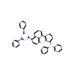 c1ccc(-c2nc(-c3ccccc3)nc(-c3ccc4c5c(cccc35)-c3cccc(N(c5ccccc5)c5ccccc5)c3S4)n2)cc1